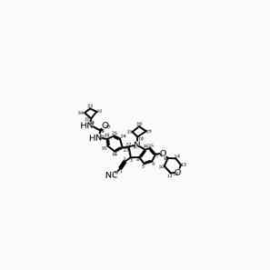 N#CC#CC1c2ccc(OC3CCOCC3)cc2N(C2CCC2)C1c1ccc(NC(=O)NC2CCC2)cc1